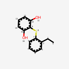 CCc1ccccc1Sc1c(O)cccc1O